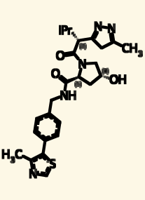 CC1=NN=C([C@H](C(=O)N2C[C@H](O)C[C@H]2C(=O)NCc2ccc(-c3scnc3C)cc2)C(C)C)C1